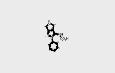 O=C(O)Nc1c2c(nn1-c1ccccc1)COC2